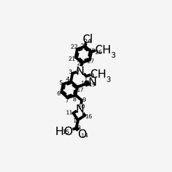 CCN(Cc1cccc(CN2CC(C(=O)O)C2)c1C#N)c1ccc(Cl)c(C)c1